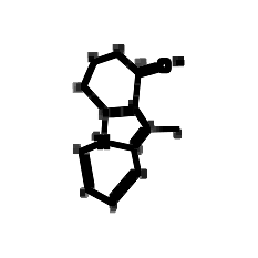 Cc1c2c(n3ccccc13)CCCC2=O